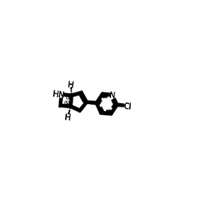 Clc1ccc(C2=C[C@@H]3NC[C@@H]3C2)cn1